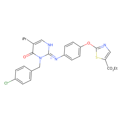 CCOC(=O)c1cnc(Oc2ccc(/N=c3\[nH]cc(C(C)C)c(=O)n3Cc3ccc(Cl)cc3)cc2)s1